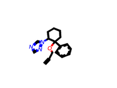 C#CCOC1(c2ccccc2)CCCCC1n1cncn1